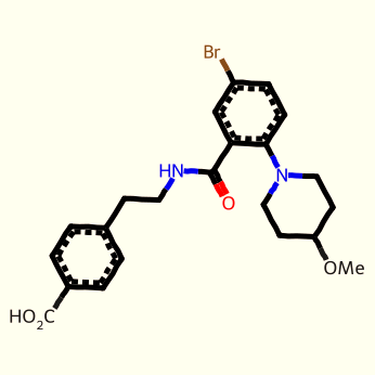 COC1CCN(c2ccc(Br)cc2C(=O)NCCc2ccc(C(=O)O)cc2)CC1